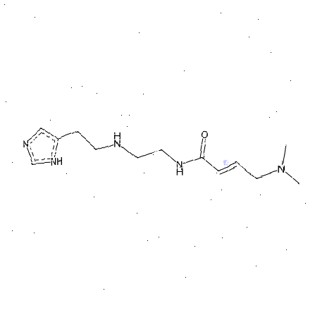 CN(C)C/C=C/C(=O)NCCNCCc1cnc[nH]1